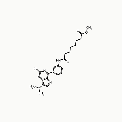 COC(=O)CCCCCCC(=O)Nc1cccc(-c2nc(Cl)nc3c2ncn3C(C)C)c1